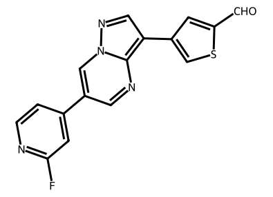 O=Cc1cc(-c2cnn3cc(-c4ccnc(F)c4)cnc23)cs1